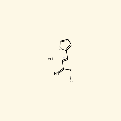 CCOC(=N)/C=C/c1ccco1.Cl